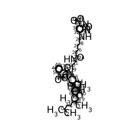 CC(C)CCC[C@@H](C)[C@H]1CC[C@H]2[C@@H]3CC=C4C[C@@H](N(CCCNC(=O)CCCCCNc5ccc([N+](=O)[O-])c6nonc56)S(=O)(=O)c5ccccc5[N+](=O)[O-])CC[C@]4(C)[C@H]3CC[C@]12C